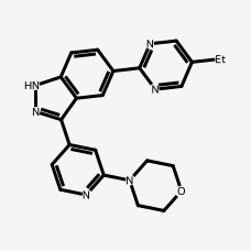 CCc1cnc(-c2ccc3[nH]nc(-c4ccnc(N5CCOCC5)c4)c3c2)nc1